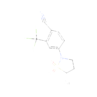 C[C@H]1CCN(c2ccc(C#N)c(C(F)(F)F)c2)S1(=O)=O